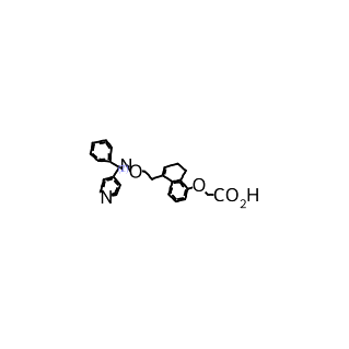 O=C(O)COc1cccc2c1CCC=C2CCO/N=C(/c1ccccc1)c1ccncc1